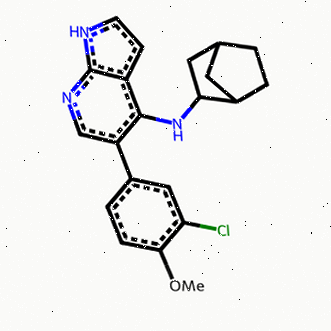 COc1ccc(-c2cnc3[nH]ccc3c2NC2CC3CCC2C3)cc1Cl